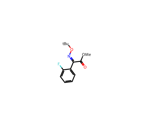 COC(=O)C(=NOC(C)(C)C)c1ccccc1F